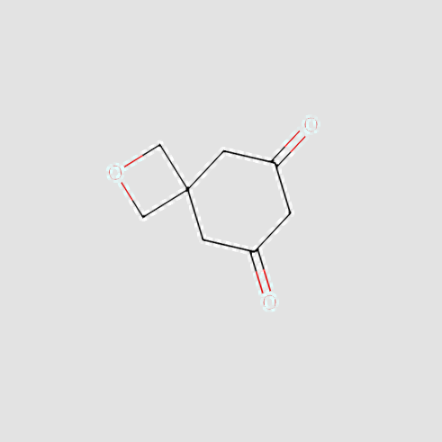 O=C1CC(=O)CC2(COC2)C1